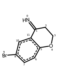 N=C1CCOc2ccc(Br)cc21